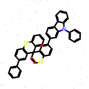 c1ccc(-c2ccc3c(c2)C2(c4ccccc4S3)c3ccccc3Sc3ccc(-c4ccc5c6ccccc6n(-c6ccccc6)c5c4)cc32)cc1